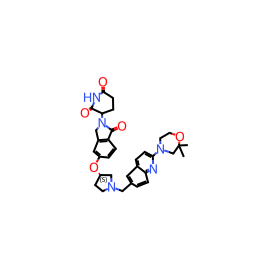 CC1(C)CN(c2ccc3cc(CN4CC[C@H](Oc5ccc6c(c5)CN(C5CCC(=O)NC5=O)C6=O)C4)ccc3n2)CCO1